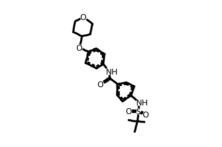 CC(C)(C)S(=O)(=O)Nc1ccc(C(=O)Nc2ccc(OC3CCOCC3)cc2)cc1